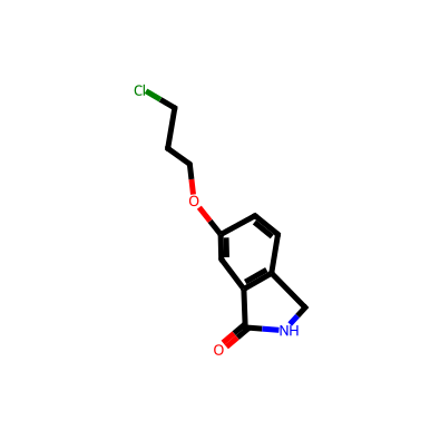 O=C1NCc2ccc(OCCCCl)cc21